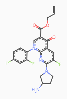 C=CCOC(=O)c1cn(-c2ccc(F)cc2F)c2nc(N3CCC(N)C3)c(F)cc2c1=O